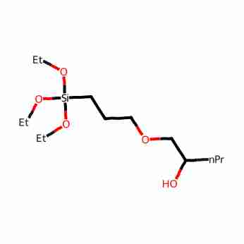 CCCC(O)COCCC[Si](OCC)(OCC)OCC